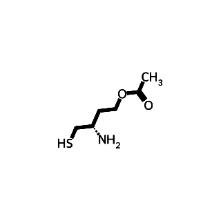 CC(=O)OCC[C@H](N)CS